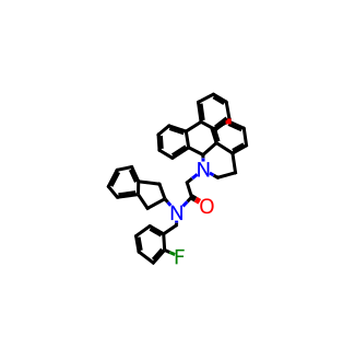 O=C(CN1CCc2ccccc2C1c1ccccc1-c1ccccc1)N(Cc1ccccc1F)C1Cc2ccccc2C1